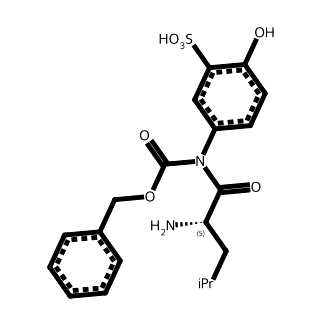 CC(C)C[C@H](N)C(=O)N(C(=O)OCc1ccccc1)c1ccc(O)c(S(=O)(=O)O)c1